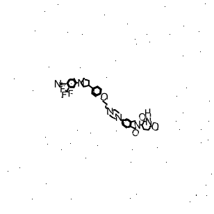 N#Cc1ccc(N2CCC(c3ccc(OCCCN4CCN(c5ccc6c(c5)CN(C5CCC(=O)NC5=O)C6=O)CC4)cc3)C2)cc1C(F)(F)F